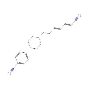 N#CC=CC=CCC[C@H]1CC[C@H](c2ccc(C#N)cc2)CC1